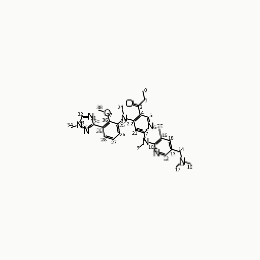 CCC(=O)c1cnc(N(C)c2ncc(CN(C)C)cc2C)cc1N(C)c1cccc(-c2ncn(C)n2)c1OC